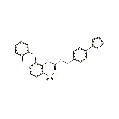 O=S1(=O)N=C(NCc2ccc(-c3cccs3)cc2)Nc2c(Oc3ccccc3Cl)cccc21